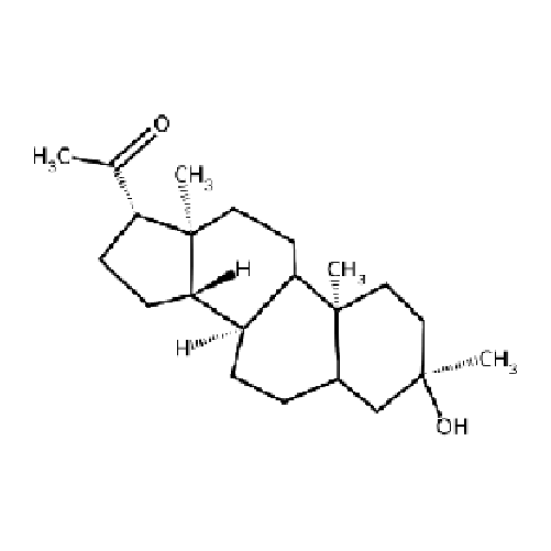 CC(=O)[C@H]1CC[C@H]2[C@@H]3CCC4C[C@](C)(O)CC[C@]4(C)C3CC[C@]12C